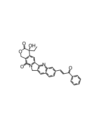 CC[C@@]1(O)C(=O)OCc2c1cc1n(c2=O)Cc2cc3ccc(/C=C/C(=O)c4ccccc4)cc3nc2-1